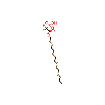 CCCSCCSCCSCCSCCOC(=O)C(F)(F)S(=O)(=O)O